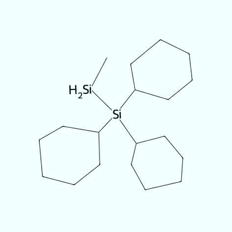 C[SiH2][Si](C1CCCCC1)(C1CCCCC1)C1CCCCC1